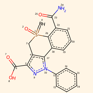 B=S1(=O)Cc2c(C(=O)O)nn(-c3ccccc3)c2-c2cccc(C(N)=O)c21